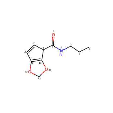 CCCNC(=O)C1C=CC2=C1OCO2